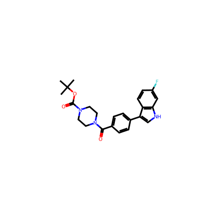 CC(C)(C)OC(=O)N1CCN(C(=O)c2ccc(-c3c[nH]c4cc(F)ccc34)cc2)CC1